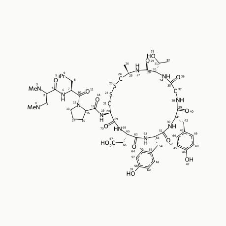 CNCC(NC)C(=O)N[C@@H](CC(C)C)C(=O)N1CCCC1C(=O)N[C@H]1CSSC[C@@H](C)NC(=O)[C@H](C(C)O)NC(=O)CNC(=O)[C@H](Cc2ccc(O)cc2)NC(=O)[C@H](Cc2ccc(O)cc2)NC(=O)[C@H](CC(=O)O)NC1=O